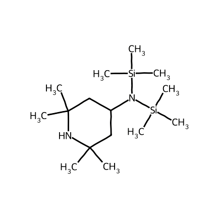 CC1(C)CC(N([Si](C)(C)C)[Si](C)(C)C)CC(C)(C)N1